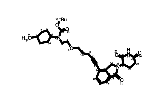 CC1CCC(N(CCOCCCC#Cc2cccc3c2CN(C2CCC(=O)NC2=O)C3=O)C(=O)OC(C)(C)C)CC1